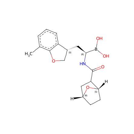 Cc1cccc2c1OC[C@H]2C[C@H](NC(=O)C1C[C@H]2CC[C@@H]1O2)B(O)O